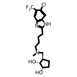 CN(CCCCc1nc2cc(C(F)(F)F)c(Cl)cc2[nH]1)C[C@H]1CC[C@H](O)[C@@H]1O